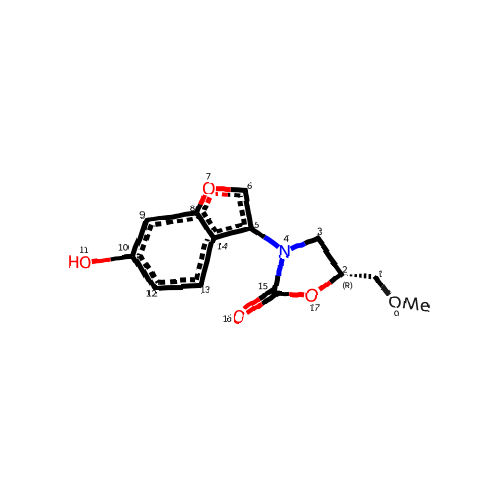 COC[C@H]1CN(c2coc3cc(O)ccc23)C(=O)O1